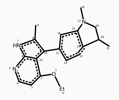 CCOc1ccnc2[nH]c(C)c(-c3ccc4c(c3)N(C)CC4C)c12